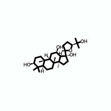 CC(C)(O)[C@@H]1CC[C@@](C)([C@@]2(O)CC[C@]3(C)[C@@H]2[C@H](O)C[C@@H]2[C@@]4(C)CC[C@H](O)C(C)(C)[C@@H]4CC[C@]23C)O1